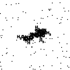 Cc1ccc(Nc2ccc3c(c2)ncn3-c2ccc([C@H](C)OC(=O)N(C)C)c(-n3nc(C#N)cc3C)n2)nn1